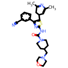 CC1=CC(c2sc(NC(=O)N3CCC(CN4CCOCC4)CC3)nc2-c2cccc(C#N)c2)CC(C)=N1